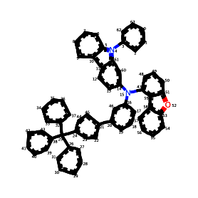 c1ccc(-n2c3ccccc3c3ccc(N(c4cccc(-c5ccc(C(c6ccccc6)(c6ccccc6)c6ccccc6)cc5)c4)c4cccc5oc6ccccc6c45)cc32)cc1